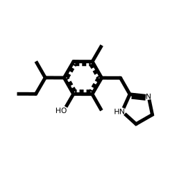 CCC(C)c1cc(C)c(CC2=NCCN2)c(C)c1O